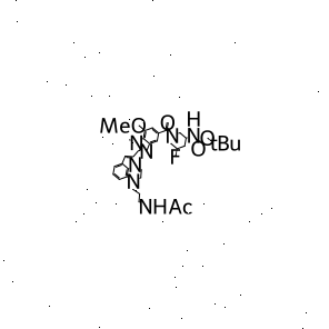 COc1cc(C(=O)N2C[C@H](F)C[C@@H](NC(=O)OC(C)(C)C)C2)cc2nc(-c3cc4cccc5c4n3CCN5CCCNC(C)=O)n(C)c12